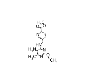 CCOc1nc(C)c(N)c(NCc2ccc(C(=O)OC)nc2)n1